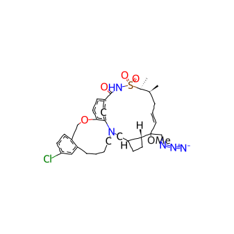 COC1(CN=[N+]=[N-])/C=C/C[C@H](C)[C@@H](C)S(=O)(=O)NC(=O)c2ccc3c(c2)N(CCCCc2cc(Cl)ccc2CO3)C[C@@H]2CC[C@H]21